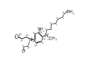 CN(CCCCCCCN)c1ccc(N(CCCl)CCCl)cc1N